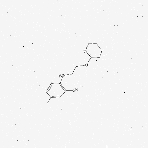 Cc1ccc(NCCOC2CCCCO2)c(S)c1